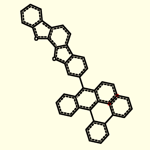 c1ccc(-c2ccccc2-c2c3ccccc3c(-c3ccc4c(c3)oc3c4ccc4c5ccccc5oc43)c3ccccc23)cc1